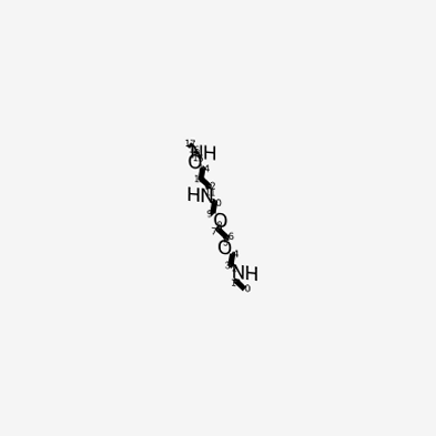 CCNCCOCCOCCNCCCONC